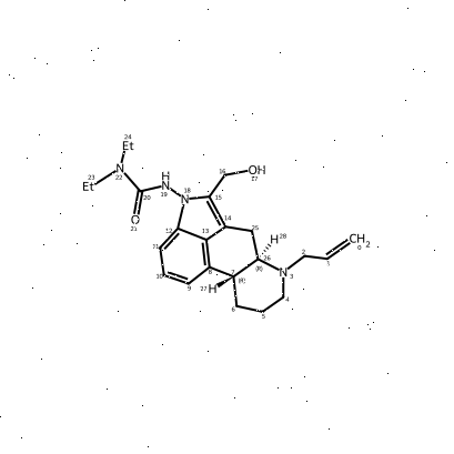 C=CCN1CCC[C@@H]2c3cccc4c3c(c(CO)n4NC(=O)N(CC)CC)C[C@H]21